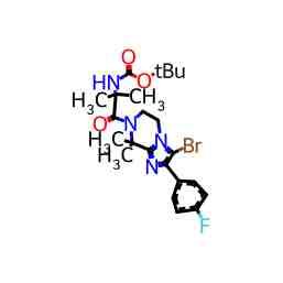 CC(C)(C)OC(=O)NC(C)(C)C(=O)N1CCn2c(nc(-c3ccc(F)cc3)c2Br)C1(C)C